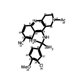 BC(B)(Nc1c2c(nc3ccc(C#N)cc13)CCN(C(C)=O)C2)c1ccc(OC)c(Cl)c1